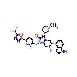 CN1CCC(n2c(=O)n(Cc3ccc(-c4nnc(C(F)F)o4)cn3)c3cc(F)c(-c4cccc5[nH]ccc45)cc32)C1